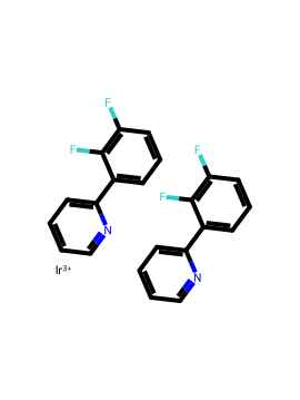 Fc1cccc(-c2ccccn2)c1F.Fc1cccc(-c2ccccn2)c1F.[Ir+3]